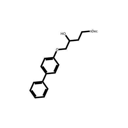 CCCCCCCCCCCCC(O)COc1ccc(-c2cc[c]cc2)cc1